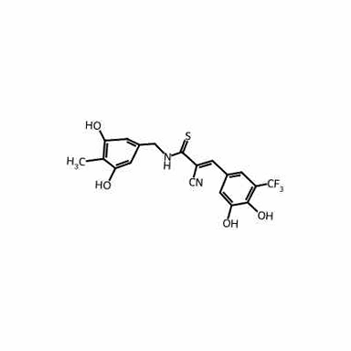 Cc1c(O)cc(CNC(=S)/C(C#N)=C/c2cc(O)c(O)c(C(F)(F)F)c2)cc1O